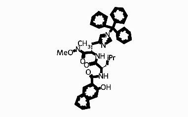 CON(C)C(=O)[C@H](Cc1cn(C(c2ccccc2)(c2ccccc2)c2ccccc2)cn1)NC(=O)[C@H](CC(C)C)NC(=O)c1cc2ccccc2cc1O